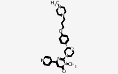 CN1CCN(CCCOc2ccc([C@H]3CN(c4nc(-c5ccncc5)cc(=O)n4C)CCO3)cc2)CC1